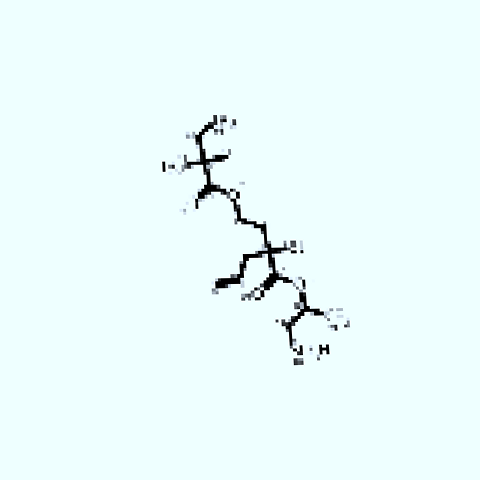 C=CCC(CC)(CCOC(=O)C(C)(CC(C)(C)C)C(C)(C)C)C(=O)OC(CS(=O)(=O)O)C(F)(F)F